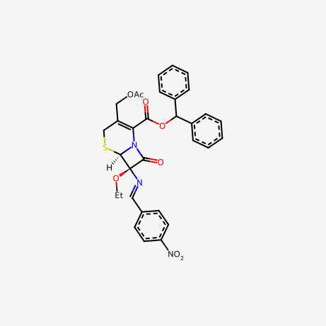 CCO[C@]1(N=Cc2ccc([N+](=O)[O-])cc2)C(=O)N2C(C(=O)OC(c3ccccc3)c3ccccc3)=C(COC(C)=O)CS[C@@H]21